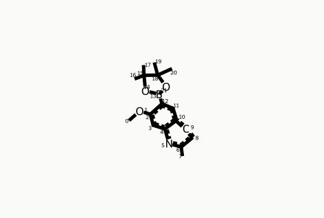 COc1cc2nc(C)ccc2cc1B1OC(C)(C)C(C)(C)O1